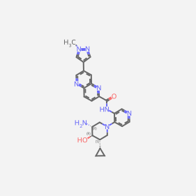 Cn1cc(-c2cnc3ccc(C(=O)Nc4cnccc4N4C[C@@H](N)[C@H](O)[C@@H](C5CC5)C4)nc3c2)cn1